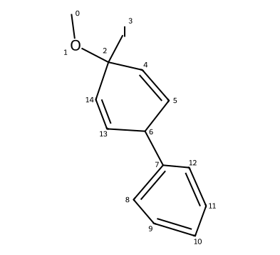 COC1(I)C=CC(c2ccccc2)C=C1